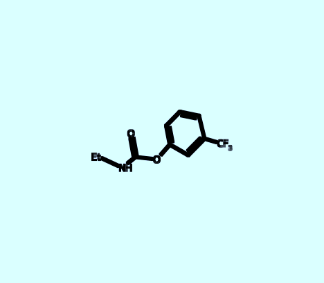 CCNC(=O)Oc1cccc(C(F)(F)F)c1